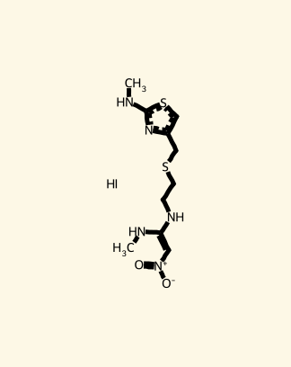 CN/C(=C\[N+](=O)[O-])NCCSCc1csc(NC)n1.I